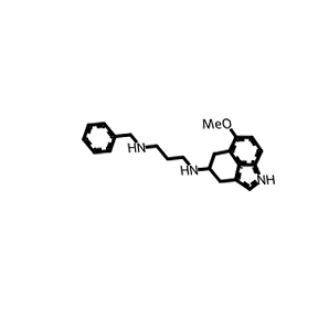 COc1ccc2[nH]cc3c2c1CC(NCCCNCc1ccccc1)C3